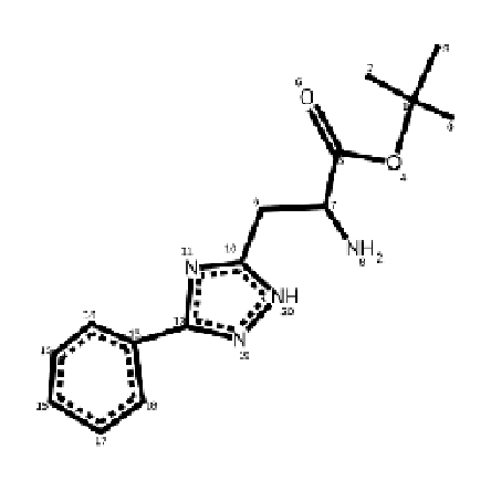 CC(C)(C)OC(=O)C(N)Cc1nc(-c2ccccc2)n[nH]1